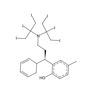 Cc1ccc(O)c([C@H](CCN(C(I)(CI)CI)C(I)(CI)CI)C2C=CC=CC2)c1